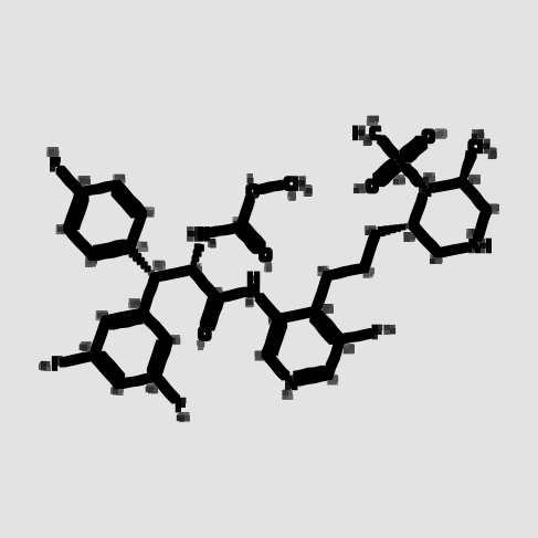 COC(=O)N[C@H](C(=O)Nc1cncc(F)c1CCC[C@H]1CNC[C@H](C)N1S(C)(=O)=O)[C@@H](c1ccc(F)cc1)c1cc(F)cc(F)c1